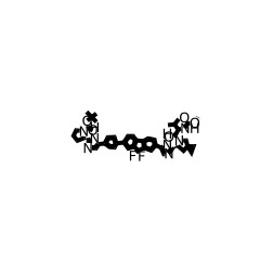 COC(=O)NC(C(=O)N1CC2(CC2)C[C@H]1c1ncc(-c2ccc3c(c2)C(F)(F)c2cc(-c4ccc(-c5cnc([C@@H]6CCCN6C(=O)OC(C)(C)C)[nH]5)cc4)ccc2-3)[nH]1)C(C)C